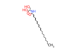 CCCCCCCCCC=CC=CC=CC=CC=CC(=O)N[C@H](CO)C(=O)O